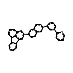 c1ccc(-c2cccc(-c3ccc4cc(-c5cc6c7c(cccc7c5)-c5ccccc5-6)ccc4c3)c2)nc1